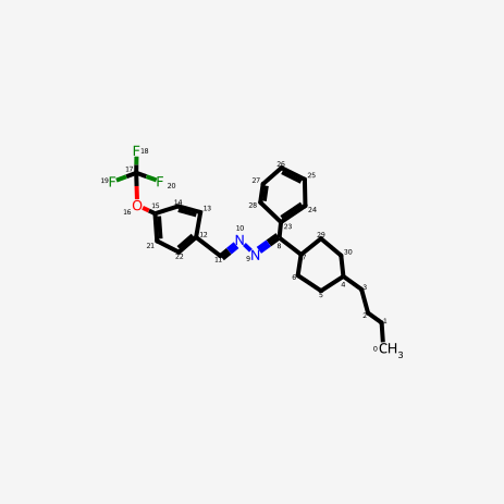 CCCCC1CCC(C(=NN=Cc2ccc(OC(F)(F)F)cc2)c2ccccc2)CC1